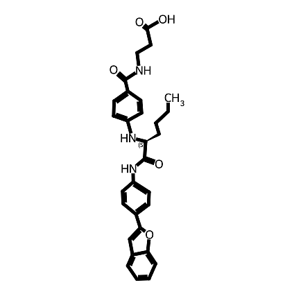 CCCC[C@H](Nc1ccc(C(=O)NCCC(=O)O)cc1)C(=O)Nc1ccc(-c2cc3ccccc3o2)cc1